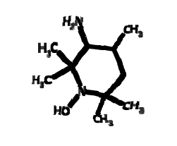 CC1CC(C)(C)N(O)C(C)(C)C1N